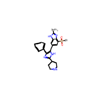 CC(C)S(=O)(=O)c1cc(-c2[nH]c(C3CCNCC3)nc2-c2ccccc2)cc2[nH]c([AsH2])nc12